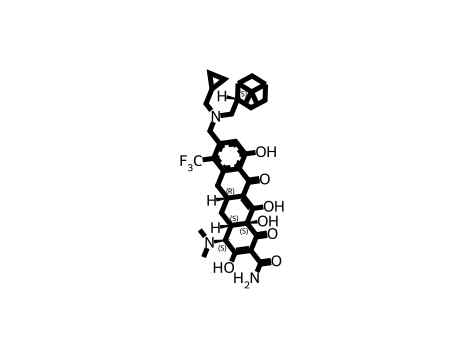 CN(C)[C@@H]1C(O)=C(C(N)=O)C(=O)[C@@]2(O)C(O)=C3C(=O)c4c(O)cc(CN(CC5CC5)C[C@H]5CCC6CC5C6(C)C)c(C(F)(F)F)c4C[C@H]3C[C@@H]12